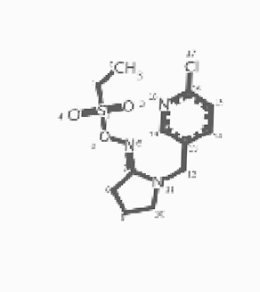 CCS(=O)(=O)ON=C1CCCN1Cc1ccc(Cl)nc1